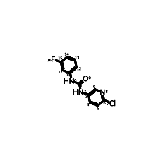 O=C(Nc1ccc(Cl)nc1)Nc1cccc(F)c1